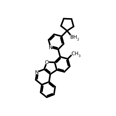 BC1(c2ccnc(-c3c(C)ccc4c3oc3ncc5ccccc5c34)c2)CCCC1